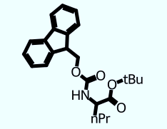 CCCC(NC(=O)OCC1c2ccccc2-c2ccccc21)C(=O)OC(C)(C)C